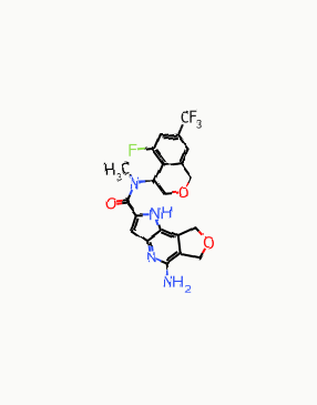 CN(C(=O)c1cc2nc(N)c3c(c2[nH]1)COC3)[C@@H]1COCc2cc(C(F)(F)F)cc(F)c21